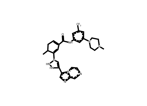 CC1CC=C(C(=O)Nc2cc(N3CCN(C)CC3)cc(C(F)(F)F)c2)C=C1N1C=C(c2cnc3cnccn23)NN1